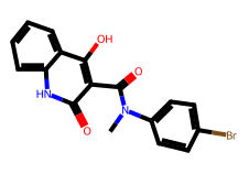 CN(C(=O)c1c(O)c2ccccc2[nH]c1=O)c1ccc(Br)cc1